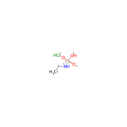 CCNS(=O)(=O)O.Cl